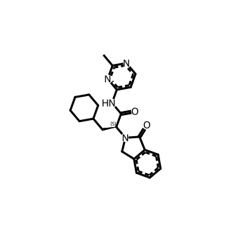 Cc1nccc(NC(=O)[C@H](CC2CCCCC2)N2Cc3ccccc3C2=O)n1